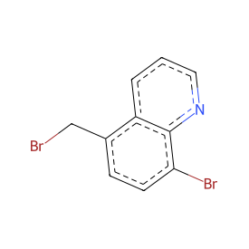 BrCc1ccc(Br)c2ncccc12